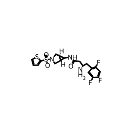 N[C@@H](CC(=O)NC1[C@H]2CN(S(=O)(=O)c3cccs3)C[C@@H]12)Cc1cc(F)c(F)cc1F